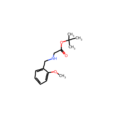 COc1ccccc1CNCC(=O)OC(C)(C)C